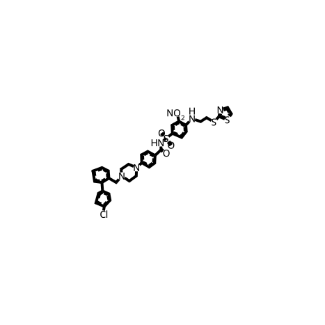 O=C(NS(=O)(=O)c1ccc(NCCSc2nccs2)c([N+](=O)[O-])c1)c1ccc(N2CCN(Cc3ccccc3-c3ccc(Cl)cc3)CC2)cc1